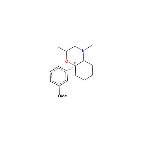 COc1cccc([C@@]23CCCCC2N(C)CC(C)O3)c1